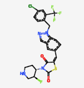 O=C1SC(=Cc2ccc3c(cnn3Cc3ccc(Cl)cc3C(F)(F)F)c2)C(=O)N1[C@H]1CCNC[C@@H]1F